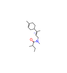 CCC(C)C(=O)N(C)C/C=C(\C)C1CC=C(C)CC1